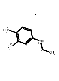 Bc1ccc(NCC)cc1C